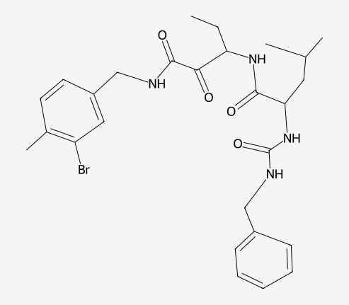 CCC(NC(=O)C(CC(C)C)NC(=O)NCc1ccccc1)C(=O)C(=O)NCc1ccc(C)c(Br)c1